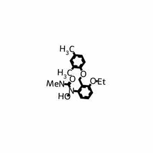 CCOc1cccc(N(O)C(=O)NC)c1COc1ccc(C)cc1C